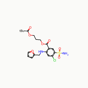 CC(C)(C)C(=O)OCCCOC(=O)c1cc(S(N)(=O)=O)c(Cl)cc1NCc1ccco1